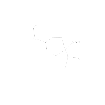 CCN(C)C1(NC)CCC(OC(C)C)CC1